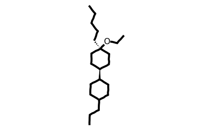 CCCCC[C@]1(OCC)CC[C@@H](C2CCC(CCC)CC2)CC1